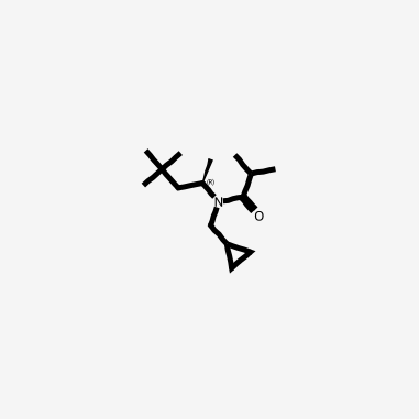 CC(C)C(=O)N(CC1CC1)[C@H](C)CC(C)(C)C